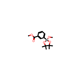 COC(=O)c1cccc([B-]2(OC)OC(C)(C)C(C)(C)O2)c1